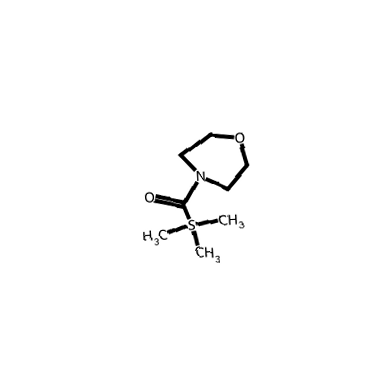 CS(C)(C)C(=O)N1CCOCC1